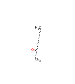 C[CH]CC(=O)CCCCCCCC